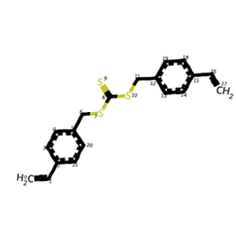 C=Cc1ccc(CSC(=S)SCc2ccc(C=C)cc2)cc1